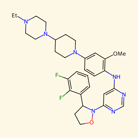 CCN1CCN(C2CCN(c3ccc(Nc4cc(N5OCCC5c5cccc(F)c5F)ncn4)c(OC)c3)CC2)CC1